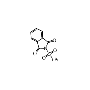 CCCS(=O)(=O)N1C(=O)c2ccccc2C1=O